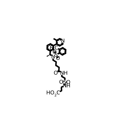 Cc1cnccc1-c1cccc([C@H](C)N(CCCCC(=O)NCCS(=O)(=O)NCCC(=O)O)S(=O)(=O)c2ccccc2C(F)(F)F)c1